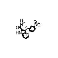 NC(=O)c1[nH]c2cccnc2c1Sc1cccc([N+](=O)[O-])c1